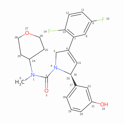 CN(C(=O)N1CC(c2cc(F)ccc2F)=C[C@H]1c1cccc(O)c1)C1CCOCC1